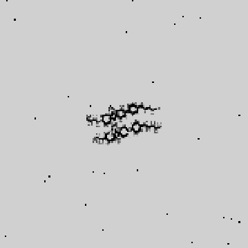 CCCCCC1CCC(C2CCC3(CC2)C(=O)[C@]2(CC[C@@H](CCCC)CC2)[C@H]3F)CC1.CCCCCC1CCC([C@H]2CC[C@]3(CC2)C(=O)[C@@]2(CCC(CCC)CC2)[C@H]3F)CC1